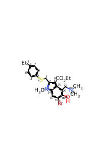 CCOC(=O)c1c(CSc2ccc(CC)cc2)n(C)c2cc(Br)c(O)c(CN(C)C)c12